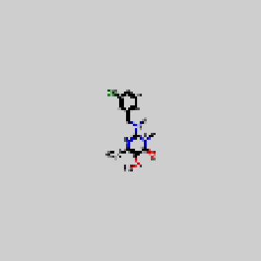 CCOc1c(C(=O)O)nc(N(C)Cc2cccc(Cl)c2)n(C)c1=O